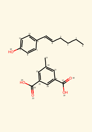 CCCCC=Cc1ccc(O)cc1.Cc1cc(C(=O)O)cc(C(=O)O)c1